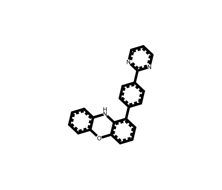 c1cnc(-c2ccc(-c3cccc4c3Nc3ccccc3O4)cc2)nc1